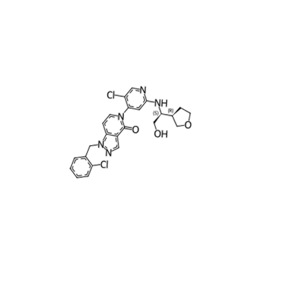 O=c1c2cnn(Cc3ccccc3Cl)c2ccn1-c1cc(N[C@H](CO)[C@H]2CCOC2)ncc1Cl